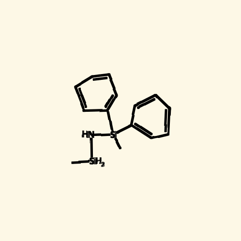 C[SiH2]N[Si](C)(c1ccccc1)c1ccccc1